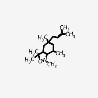 CC(C)=CCC1(C)CC(C)C2C(C1)C(C)(C)ON2C